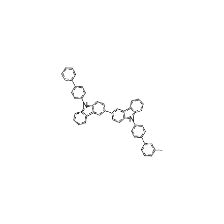 Cc1cccc(-c2ccc(-n3c4ccccc4c4cc(-c5ccc6c(c5)c5ccccc5n6-c5ccc(-c6ccccc6)cc5)ccc43)cc2)c1